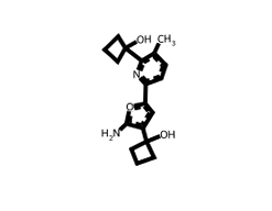 Cc1ccc(-c2cc(C3(O)CCC3)c(N)o2)nc1C1(O)CCC1